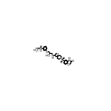 CNS(=O)(=O)c1cccc(OCC(O)CNC2COC3(CCN(S(=O)(=O)c4ccc5c(c4)NC(=O)CO5)CC3)C2)c1